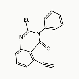 C#Cc1cccc2nc(CC)n(-c3ccccc3)c(=O)c12